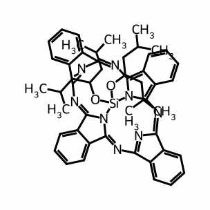 CC(C)CC(CC(C)C)O[Si]1(OC(CC(C)C)CC(C)C)n2c3c4ccccc4c2/N=C2N=C(/N=c4/c5ccccc5/c(n41)=N/C1=NC(=N\3)/c3ccccc31)c1ccccc1\2